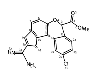 COC(=O)C(Oc1ccc2cc(C(=N)N)sc2c1)c1ccc(Cl)cc1